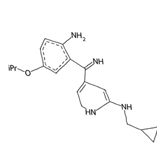 CC(C)Oc1ccc(N)c(C(=N)C2=CCNC(NCC3CC3)=C2)c1